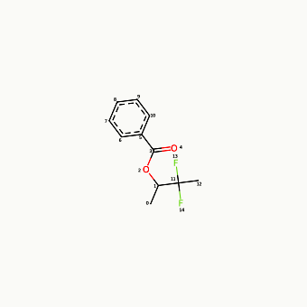 CC(OC(=O)c1ccccc1)C(C)(F)F